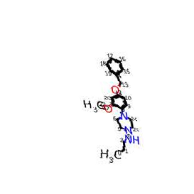 CCCNN1CCN(c2ccc(OCc3ccccc3)cc2OC)CC1